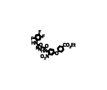 CCOC(=O)[C@H]1CC[C@@H](Oc2ccc(NC(=O)c3nnc(Nc4cc(F)c(F)cc4F)o3)c([N+](=O)[O-])c2)CC1